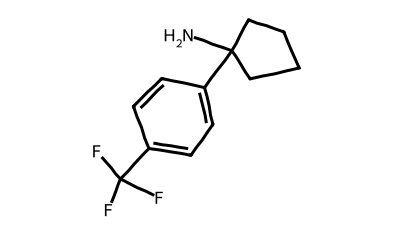 NC1(c2ccc(C(F)(F)F)cc2)CCCC1